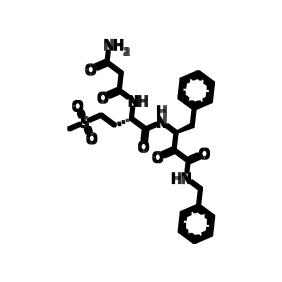 CS(=O)(=O)CC[C@H](NC(=O)CC(N)=O)C(=O)N[C@@H](Cc1ccccc1)C(=O)C(=O)NCc1ccccc1